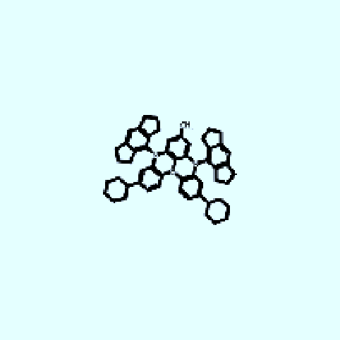 Cc1cc2c3c(c1)N(c1c4c(cc5c1CCC5)CCC4)c1cc(C4CCCCC4)ccc1B3c1ccc(C3CCCCC3)cc1N2c1c2c(cc3c1CCC3)CCC2